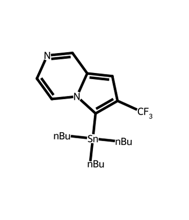 CCC[CH2][Sn]([CH2]CCC)([CH2]CCC)[c]1c(C(F)(F)F)cc2cnccn12